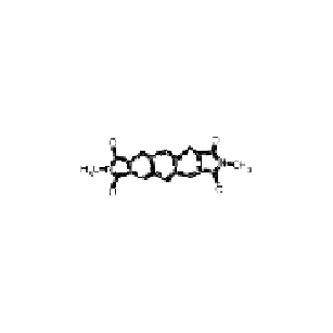 Cn1c(=O)c2cc3cc4cc5c(=O)n(C)c(=O)c5cc4cc3cc2c1=O